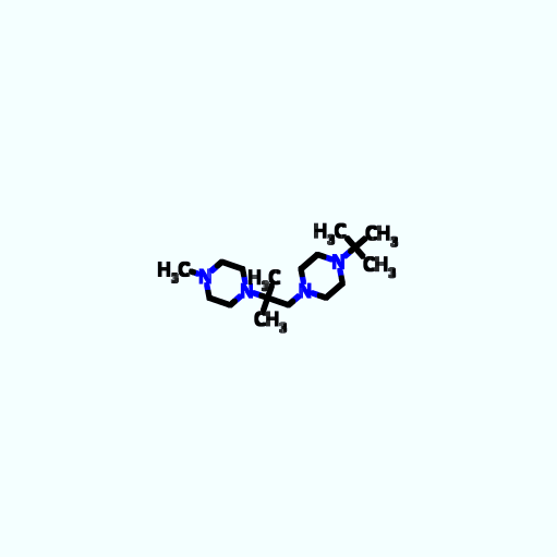 CN1CCN(C(C)(C)CN2CCN(C(C)(C)C)CC2)CC1